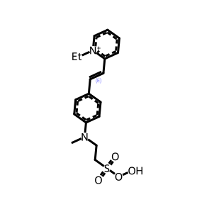 CC[n+]1ccccc1/C=C/c1ccc(N(C)CCS(=O)(=O)OO)cc1